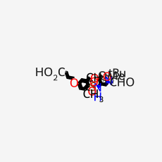 COC(=O)C(CN(C=O)OC(C)(C)C)NS(=O)(=O)c1c(C)cc(OCCCC(=O)O)cc1C